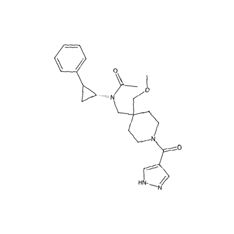 COCC1(CN(C(C)=O)[C@@H]2CC2c2ccccc2)CCN(C(=O)c2cn[nH]c2)CC1